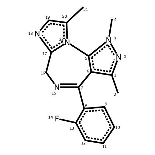 Cc1nn(C)c2c1C(c1ccccc1F)=NCc1ncc(C)n1-2